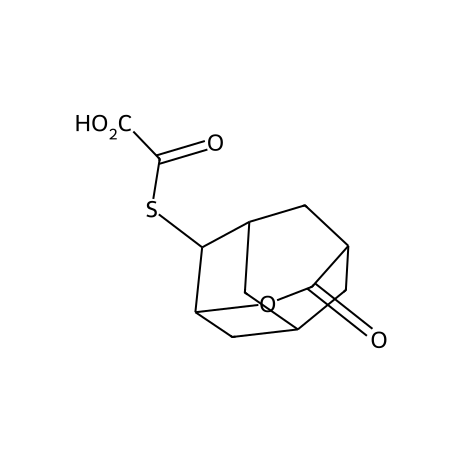 O=C(O)C(=O)SC1C2CC3CC(C2)C(=O)OC1C3